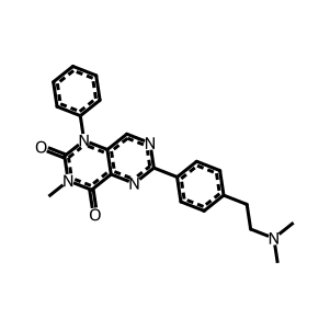 CN(C)CCc1ccc(-c2ncc3c(n2)c(=O)n(C)c(=O)n3-c2ccccc2)cc1